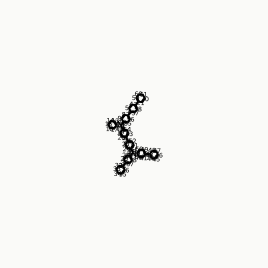 C1=CC(c2ccc(-c3ccc(N(c4ccccc4)c4ccc(-c5ccc(N(c6ccc(C7=CCCC=C7)cc6)c6ccc(-c7ccccc7)cc6)cc5)cc4)cc3)cc2)=CCC1